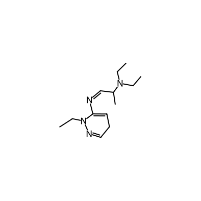 CCN1N=CCC=C1/N=C\C(C)N(CC)CC